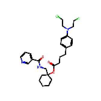 O=C(CCCc1ccc(N(CCCl)CCCl)cc1)OC1(CNC(=O)c2cccnc2)CCCCC1